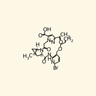 C=CCOCc1ccc(Br)nc1NC(=O)[C@@H]1C[C@@]2(C)C[C@H]2N1C(=O)Cn1nc(C(C)=O)cc1C(=O)O